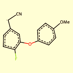 COc1ccc(Oc2cc([CH]C#N)ccc2F)cc1